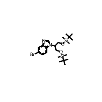 CC(C)(C)[Si](C)(C)OCC(CO[Si](C)(C)C(C)(C)C)n1cnc2cc(Br)ccc21